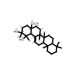 CC1(C)CCCC2(C)C1CCC1(C)C2CC=C2C3C(C(=O)O)(CCC(C)(O)C3(C)O)CCC21C